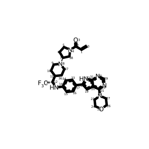 C=CC(=O)N1CC[C@@H](N2CCC([C@H](Nc3ccc(-c4cc5c(N6CCOCC6)ncnc5[nH]4)cc3)C(F)(F)F)CC2)C1